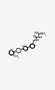 Cc1cccnc1N1CCN(c2ncc(-c3cccc(CNC(=O)NC(=N)N)c3)cn2)CC1